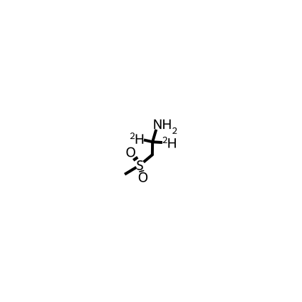 [2H]C([2H])(N)CS(C)(=O)=O